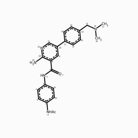 CC(=O)Nc1ccc(NC(=O)c2cc(-c3ccc(CN(C)C)cc3)cnc2N)cc1